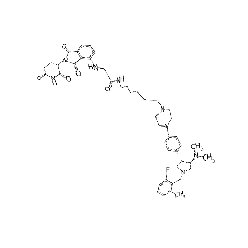 Cc1cccc(F)c1CN1C[C@H](c2ccc(N3CCN(CCCCCCNC(=O)CNc4cccc5c4C(=O)N(C4CCC(=O)NC4=O)C5=O)CC3)cc2)[C@@H](N(C)C)C1